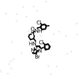 Cc1ccc(CNC(=O)N2CCCC(CNc3cc(-c4ccccc4Cl)nc4c(Br)cnn34)C2)c(Cl)c1